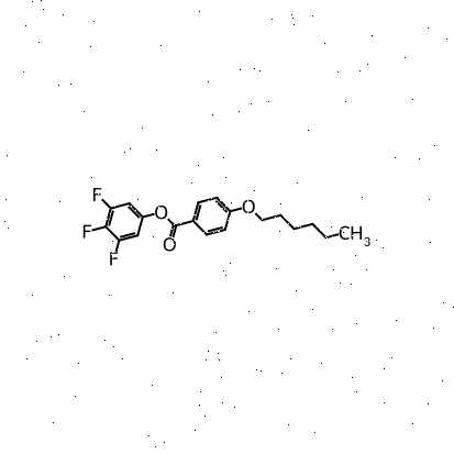 CCCCCCOc1ccc(C(=O)Oc2cc(F)c(F)c(F)c2)cc1